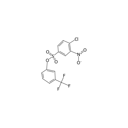 O=[N+]([O-])c1cc(S(=O)(=O)Oc2cccc(C(F)(F)F)c2)ccc1Cl